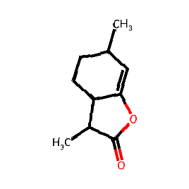 CC1C=C2OC(=O)C(C)C2CC1